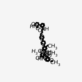 CCc1cc(Nc2ncc(Cl)c(Nc3ccc(OC)cc3NS(C)(=O)=O)n2)c(OC)cc1N1CCC(N2CCN(CCC(=O)Nc3cccc(C4CCC(=O)NC4=O)c3)CC2)CC1